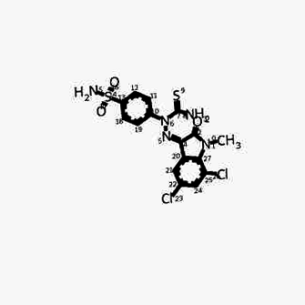 CN1C(=O)/C(=N\N(C(N)=S)c2ccc(S(N)(=O)=O)cc2)c2cc(Cl)cc(Cl)c21